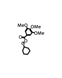 COc1cc(C(=O)OO[C]2CCCCC2)cc(OC)c1OC